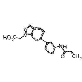 C=CC(=O)Nc1cccc(-c2ccc3cnn(CC(=O)O)c3c2)c1